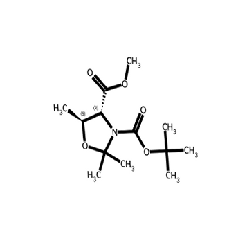 COC(=O)[C@H]1[C@H](C)OC(C)(C)N1C(=O)OC(C)(C)C